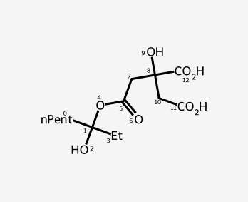 CCCCCC(O)(CC)OC(=O)CC(O)(CC(=O)O)C(=O)O